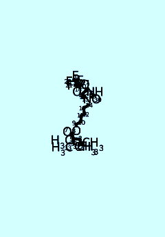 CC(C)CC(C)(C(=O)OCCCCCCn1cc(OC(F)(F)C(F)(F)F)c(=O)[nH]c1=O)C(C)C